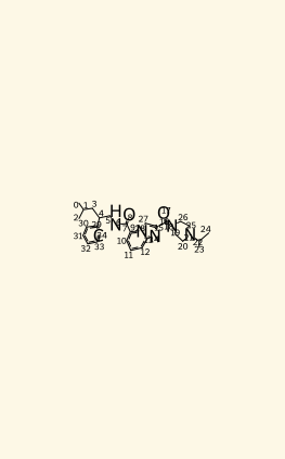 CC(C)CC(CNC(=O)c1cccc2nc(C(=O)N3CCN(C(C)C)CC3)cn12)c1ccccc1